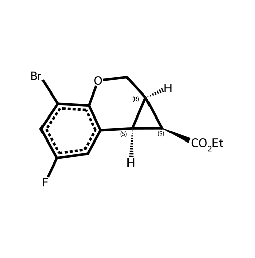 CCOC(=O)[C@@H]1[C@@H]2COc3c(Br)cc(F)cc3[C@@H]21